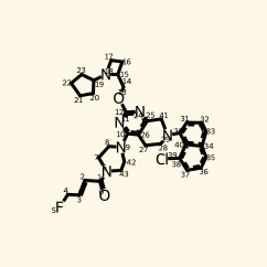 O=C(/C=C/CF)N1CCN(c2nc(OCC3CCN3C3CCCC3)nc3c2CCN(c2cccc4cccc(Cl)c24)C3)CC1